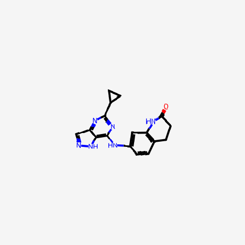 O=C1CCc2ccc(Nc3nc(C4CC4)nc4cn[nH]c34)cc2N1